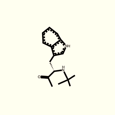 CC(=O)[C@H](Cc1c[nH]c2ccccc12)NC(C)(C)C